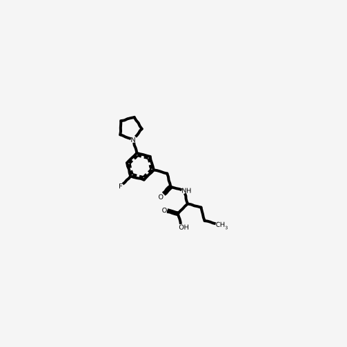 CCCC(NC(=O)Cc1cc(F)cc(N2CCCC2)c1)C(=O)O